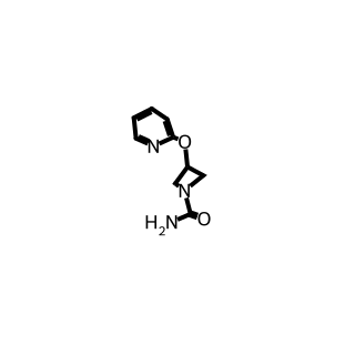 NC(=O)N1CC(Oc2ccccn2)C1